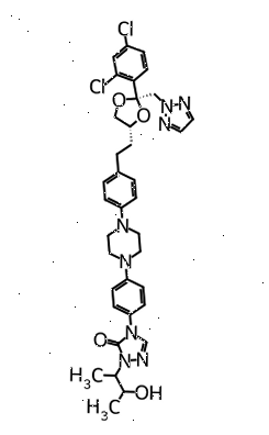 CC(O)C(C)n1ncn(-c2ccc(N3CCN(c4ccc(CC[C@@H]5CO[C@@](Cn6nccn6)(c6ccc(Cl)cc6Cl)O5)cc4)CC3)cc2)c1=O